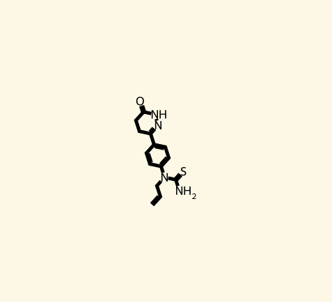 C=CCN(C(N)=S)c1ccc(C2=NNC(=O)CC2)cc1